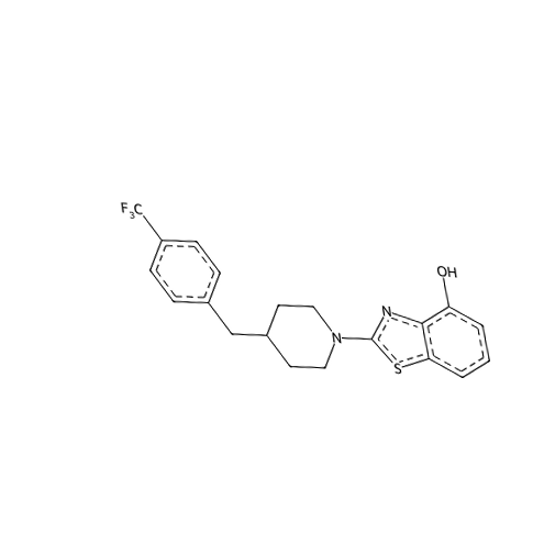 Oc1cccc2sc(N3CCC(Cc4ccc(C(F)(F)F)cc4)CC3)nc12